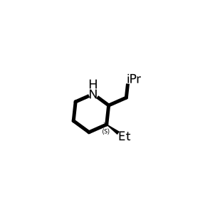 CC[C@H]1CCCNC1CC(C)C